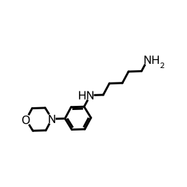 NCCCCCNc1cccc(N2CCOCC2)c1